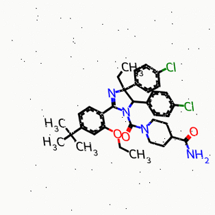 CCOc1cc(C(C)(C)C)ccc1C1=NC(CC)(c2ccc(Cl)cc2)C(c2ccc(Cl)cc2)N1C(=O)N1CCC(C(N)=O)CC1